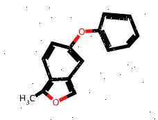 Cc1occ2cc(Oc3ccccc3)ccc12